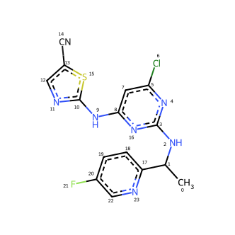 CC(Nc1nc(Cl)cc(Nc2ncc(C#N)s2)n1)c1ccc(F)cn1